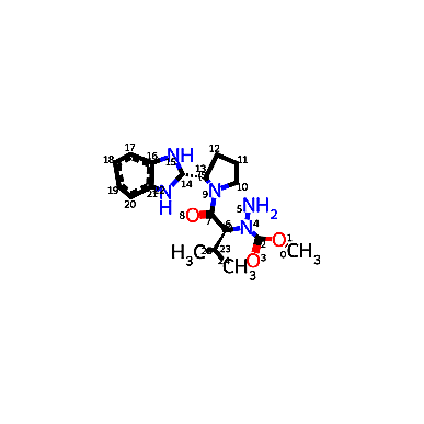 COC(=O)N(N)[C@H](C(=O)N1CCC[C@H]1C1Nc2ccccc2N1)C(C)C